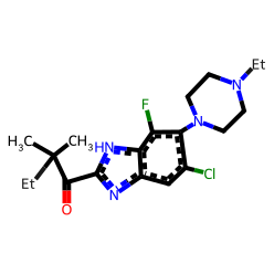 CCN1CCN(c2c(Cl)cc3nc(C(=O)C(C)(C)CC)[nH]c3c2F)CC1